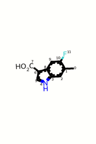 Cc1cc2[nH]cc(C(=O)O)c2cc1F